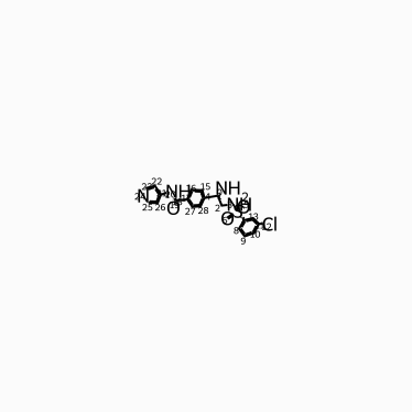 NC(CNS(=O)(=O)c1cccc(Cl)c1)c1ccc(C(=O)Nc2ccncc2)cc1